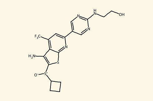 Nc1c([S+]([O-])C2CCC2)sc2nc(-c3cnc(NCCO)nc3)cc(C(F)(F)F)c12